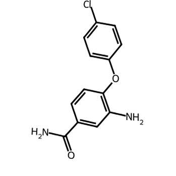 NC(=O)c1ccc(Oc2ccc(Cl)cc2)c(N)c1